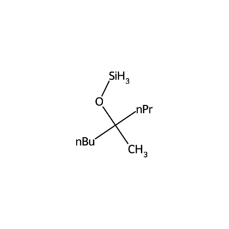 CCCCC(C)(CCC)O[SiH3]